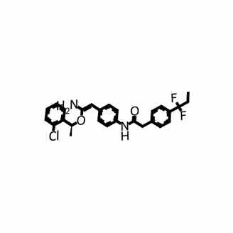 CCC(F)(F)c1ccc(CC(=O)Nc2ccc(/C=C(/N)O[C@@H](C)c3ccccc3Cl)cc2)cc1